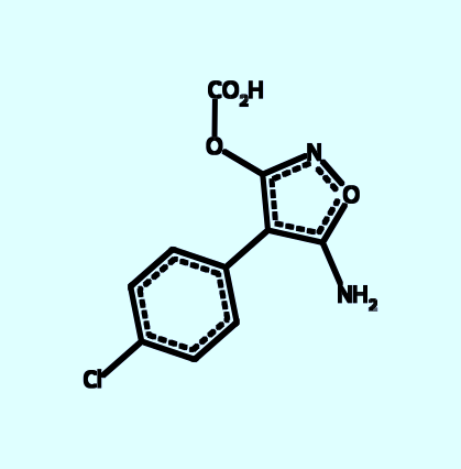 Nc1onc(OC(=O)O)c1-c1ccc(Cl)cc1